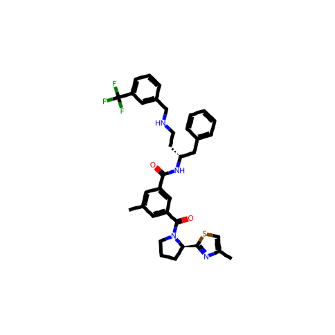 Cc1cc(C(=O)N[C@H](CCNCc2cccc(C(F)(F)F)c2)Cc2ccccc2)cc(C(=O)N2CCC[C@@H]2c2nc(C)cs2)c1